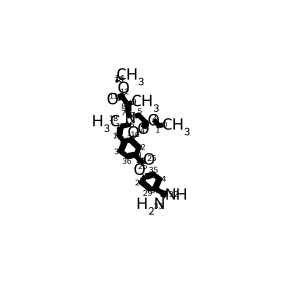 CCOC(=O)CN(C=C(C)C(=O)OCC)C(=O)C(C)=Cc1ccc(C(=O)Oc2ccc(C(=N)N)cc2)cc1